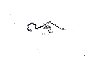 CC/C=C\C/C=C\C/C=C\C/C=C\C/C=C\CCCC(=O)O[C@H](CO/C=C\CCCCCCCCCCCCCCCCCC)COP(=O)(O)OC[C@H](N)C(=O)O